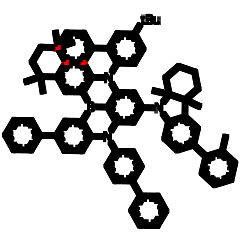 Cc1ccccc1-c1ccc2c(c1)C1(C)CCCCC1(C)N2c1cc2c3c(c1)N(c1ccc(C(C)(C)C)cc1-c1ccccc1)c1cc4c(cc1B3c1cc(-c3ccccc3)ccc1N2c1ccc(-c2ccccc2)cc1)C(C)(C)CCC4(C)C